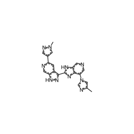 Cc1cn(-c2cncc3[nH]c(-c4n[nH]c5cnc(-c6cnn(C)c6)cc45)nc23)cn1